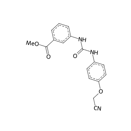 COC(=O)c1cccc(NC(=O)Nc2ccc(OCC#N)cc2)c1